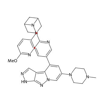 COc1ccc(CN2C3CC2CN(c2ccc(-c4cc(N5CCN(C)CC5)cn5nc6[nH]ncc6c45)cn2)C3)cn1